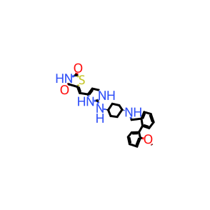 COc1ccccc1-c1ccccc1CN[C@H]1CC[C@H](NC2NCC=C(/C=C3\SC(=O)NC3=O)N2)CC1